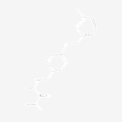 CC(C)C(=O)N(C)NCc1ccc(OCc2cccc(F)c2)cc1